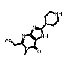 CC(=O)Cc1nc2nc(N3CCNCC3)[nH]c2c(=O)n1C